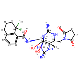 N=C1N[C@H]2[C@H](CN3C(=O)CCC3=O)NC(=N)N3C[C@H](NC(=O)c4cccc5c4C(F)(F)CCC5)C(O)(O)[C@]23N1